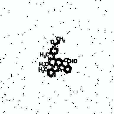 C=CC(=O)N1CCN(C2=NC(=C)N(c3c(C)ccnc3C(C)C)c3nc(-c4ccccc4C=O)c(Cl)cc32)[C@@H](C)C1